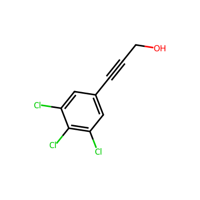 OCC#Cc1cc(Cl)c(Cl)c(Cl)c1